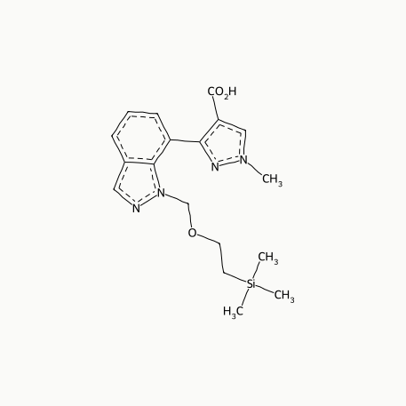 Cn1cc(C(=O)O)c(-c2cccc3cnn(COCC[Si](C)(C)C)c23)n1